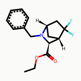 CCOC(=O)[C@@H]1[C@@H]2C[C@@H](CC2(F)F)N1Cc1ccccc1